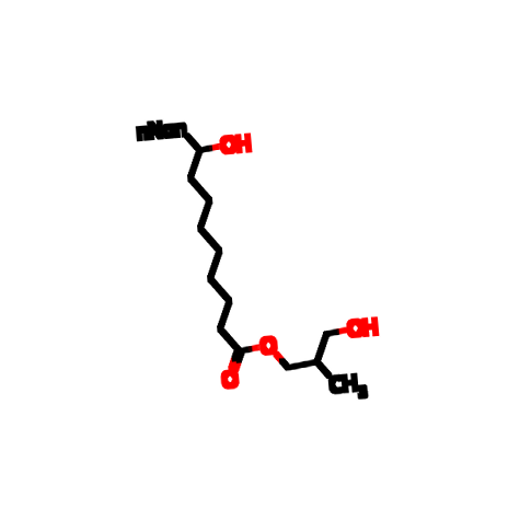 CCCCCCCCCC(O)CCCCCCCC(=O)OCC(C)CO